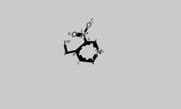 O=[N+]([O-])c1cnccc1CI